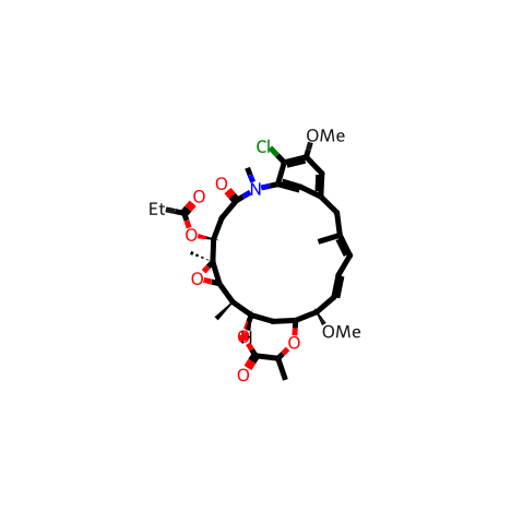 CCC(=O)O[C@H]1CC(=O)N(C)c2cc(cc(OC)c2Cl)C/C(C)=C/C=C/[C@@H](OC)[C@]2(C)C[C@H](OC(=O)C(C)O2)[C@@H](C)C2O[C@]21C